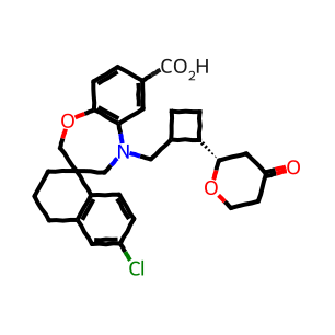 O=C1CCO[C@H](C2CCC2CN2CC3(CCCc4cc(Cl)ccc43)COc3ccc(C(=O)O)cc32)C1